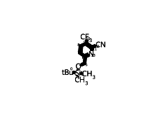 CC(C)(C)[Si](C)(C)OCc1ccc(C(F)(F)F)c(C#N)n1